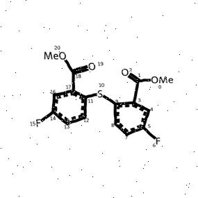 COC(=O)c1cc(F)ccc1Sc1ccc(F)cc1C(=O)OC